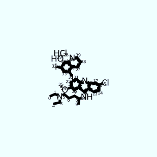 CCN(CC)CCCC(C)Nc1c2ccc(Cl)cc2nc2ccc(OC)cc12.Cl.Oc1c(I)cc(I)c2cccnc12